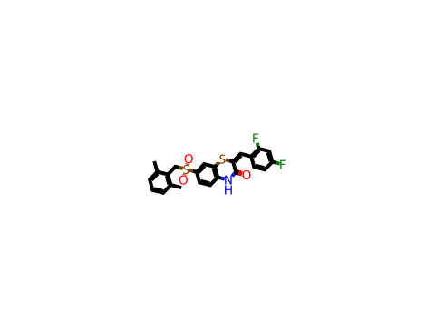 Cc1cccc(C)c1CS(=O)(=O)c1ccc2c(c1)S/C(=C/c1ccc(F)cc1F)C(=O)N2